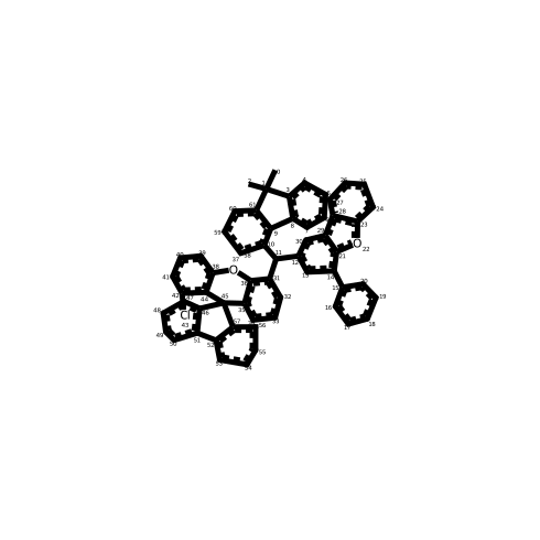 CC1(C)c2ccccc2-c2c(C(c3cc(-c4ccccc4)c4oc5ccccc5c4c3)c3cccc4c3Oc3cccc(Cl)c3C43c4ccccc4-c4ccccc43)cccc21